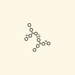 CC1(C)c2ccccc2-c2ccc(N(c3ccc(-c4ccccc4)cc3)c3ccc(C4(C)c5cc(N(c6ccc(-c7ccccc7)cc6)c6ccc7c(c6)C(C)(C)c6ccccc6-7)ccc5CC4(C)C)cc3)cc21